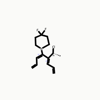 C=C/C=C(/C(=C\C=C)N1CCC(F)(F)CC1)[C@@H](C)Cl